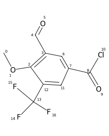 COc1c(C=O)cc(C(=O)Cl)cc1C(F)(F)F